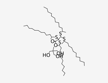 CCCCCCCCCCC(C)SC(SC(C)CCCCCCCCCC)C(SC(C)CCCCCCCCCC)(SC(C)CCCCCCCCCC)C(=O)OCC(CO)(CO)CO